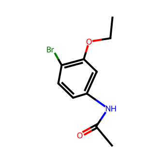 CCOc1cc(NC(C)=O)ccc1Br